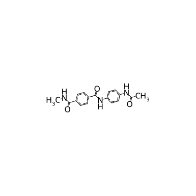 CNC(=O)c1ccc(C(=O)Nc2ccc(NC(C)=O)cc2)cc1